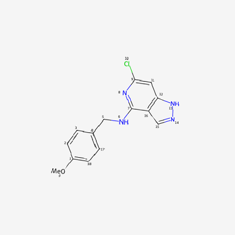 COc1ccc(CNc2nc(Cl)cc3[nH]ncc23)cc1